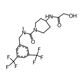 CN(Cc1cc(C(F)(F)F)cc(C(F)(F)F)c1)C(=O)N1CCC(NC(=O)CO)CC1